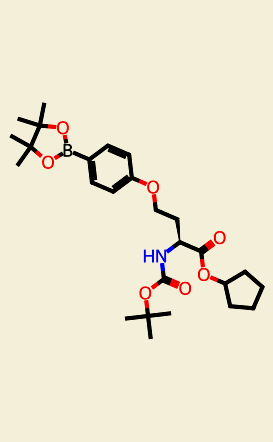 CC(C)(C)OC(=O)N[C@@H](CCOc1ccc(B2OC(C)(C)C(C)(C)O2)cc1)C(=O)OC1CCCC1